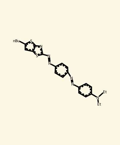 CCCCc1cc2sc(/N=N/c3ccc(/N=N/c4ccc(N(CC)CC)cc4)cc3)nc2s1